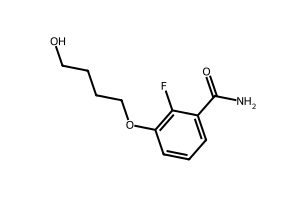 NC(=O)c1cccc(OCCCCO)c1F